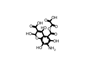 Nc1c(O)c2c(c(C(=O)OC(=O)C(=O)O)c1O)C(O)=C(C(=O)O)C(O)O2